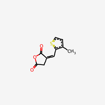 Cc1ccsc1C=C1CC(=O)OC1=O